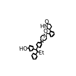 CCC(=C(c1ccc(O)cc1)c1ccc(N2CCN(Cc3ccccc3C3CCC(=O)NC3=O)CC2)cc1)c1ccccc1